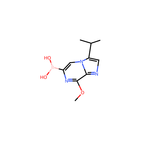 COc1nc(B(O)O)cn2c(C(C)C)cnc12